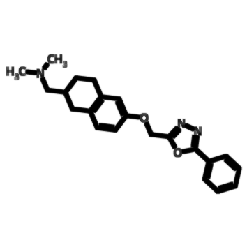 CN(C)CC1CCc2cc(OCc3nnc(-c4ccccc4)o3)ccc2C1